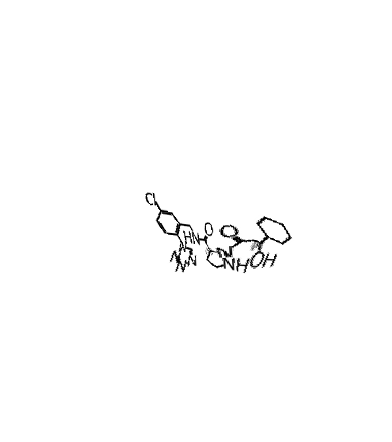 O=C(NCc1cc(Cl)ccc1-n1cnnn1)[C@@H]1CCNN1C(=O)[C@H](O)C1CCCCC1